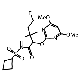 COc1cc(OC)nc(OC(C(=O)NS(=O)(=O)C2CCC2)C(C)(C)CCF)n1